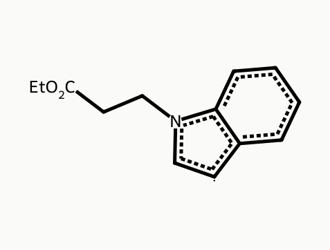 CCOC(=O)CCn1c[c]c2ccccc21